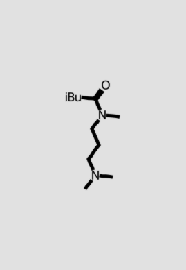 CCC(C)C(=O)N(C)CCCN(C)C